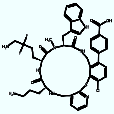 CN1C(=O)[C@H](CCC(F)(F)CN)NC(=O)[C@H](CCCN)NCc2cccnc2Sc2c(Cl)ccc(-c3ccc(C(=O)O)cc3)c2CNC(=O)[C@@H]1Cc1c[nH]c2ccccc12